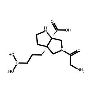 NCC(=O)N1C[C@@]2(CCCB(O)O)CCN[C@@]2(C(=O)O)C1